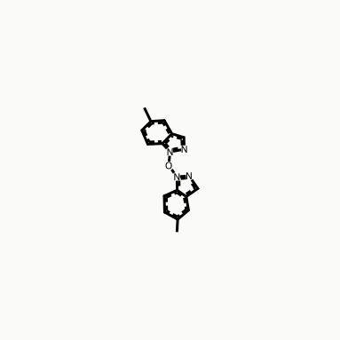 Cc1ccc2c(cnn2On2ncc3cc(C)ccc32)c1